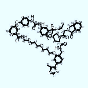 Cc1ncsc1-c1ccc(CNC(=O)[C@@H]2C[C@@H](O)CN2C(=O)[C@H](C(C)C)N2Cc3ccccc3C2=O)c(OCCCOCCOCCNC(=O)c2cc(Oc3ccc(NC(=O)Nc4ccc(Cl)c(C(F)(F)F)c4)cc3)ccn2)c1